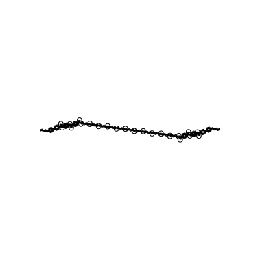 CCCCCC1CCC(C2CCC(C(=O)Oc3ccc(OC(=O)c4ccc(C(=O)OCCCCOCCCCOCCCCOCCCCOCCCCOCCCCOCCCCOCCCCOCCCCOCCCCOCCCCOC(=O)c5ccc(C(=O)Oc6ccc(OC(=O)C7CCC(C8CCC(CCCCC)CC8)CC7)cc6)cc5)cc4)cc3)CC2)CC1